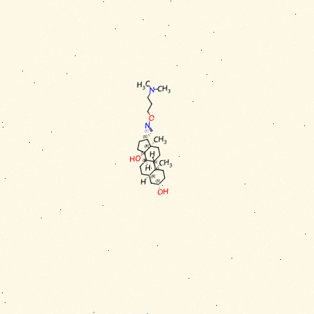 CN(C)CCCO/N=C/[C@H]1CC[C@]2(O)[C@@H]3CC[C@@H]4C[C@@H](O)CC[C@]4(C)[C@H]3CC[C@]12C